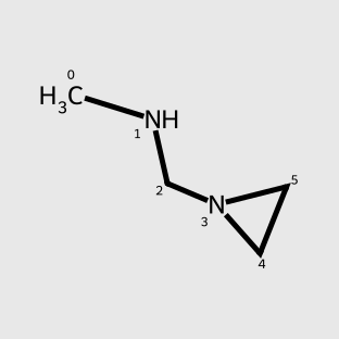 CNCN1CC1